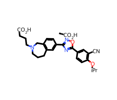 CC(=O)O.CC(C)Oc1ccc(-c2nc(-c3ccc4c(c3)CCCN(CCCC(=O)O)C4)no2)cc1C#N